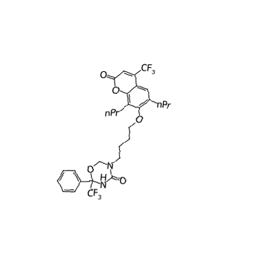 CCCc1cc2c(C(F)(F)F)cc(=O)oc2c(CCC)c1OCCCCN1COC(c2ccccc2)(C(F)(F)F)NC1=O